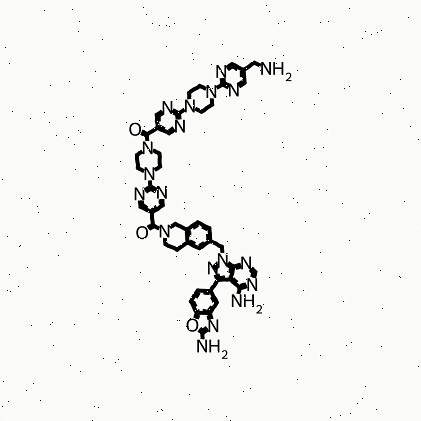 NCc1cnc(N2CCN(c3ncc(C(=O)N4CCN(c5ncc(C(=O)N6CCc7cc(Cn8nc(-c9ccc%10oc(N)nc%10c9)c9c(N)ncnc98)ccc7C6)cn5)CC4)cn3)CC2)nc1